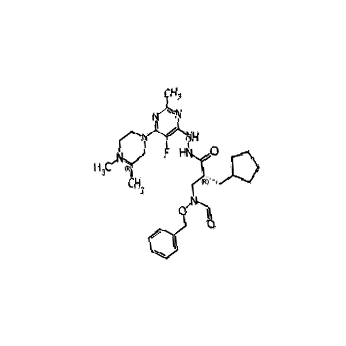 Cc1nc(NNC(=O)[C@H](CC2CCCC2)CN(C=O)OCc2ccccc2)c(F)c(N2CCN(C)[C@H](C)C2)n1